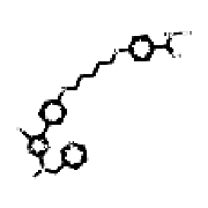 CCc1sc(N(C)Cc2cccnc2)nc1-c1ccc(OCCCCCOc2ccc(C(=N)NO)cc2)cc1